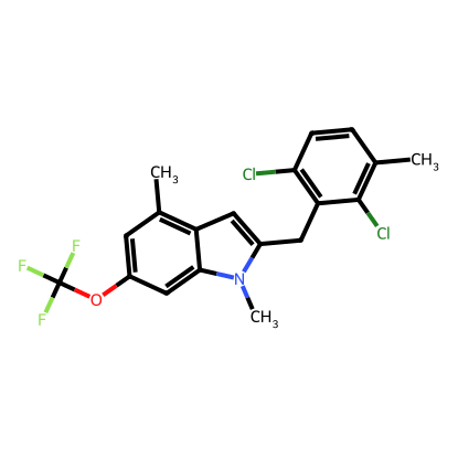 Cc1ccc(Cl)c(Cc2cc3c(C)cc(OC(F)(F)F)cc3n2C)c1Cl